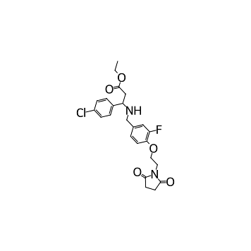 CCOC(=O)CC(NCc1ccc(OCCN2C(=O)CCC2=O)c(F)c1)c1ccc(Cl)cc1